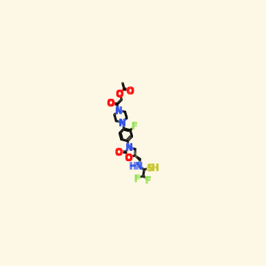 CC(=O)OCC(=O)N1CCN(c2ccc(N3C[C@@H](CNC(S)C(F)F)OC3=O)cc2F)CC1